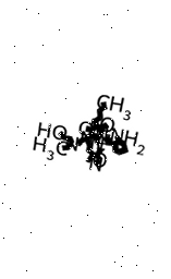 CCCCCn1c(=O)c2c(nc(Cc3cnoc3F)n2CCN(CC)CCO)n(CCc2ccccc2N)c1=O